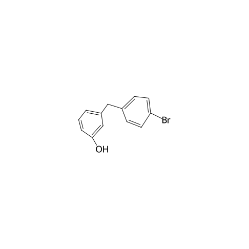 Oc1cccc(Cc2ccc(Br)cc2)c1